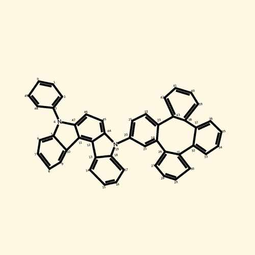 c1ccc(-n2c3ccccc3c3c4c5ccccc5n(-c5ccc6c(c5)-c5ccccc5-c5ccccc5-c5ccccc5-6)c4ccc32)cc1